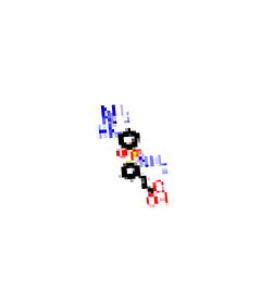 NN=CNc1cccc(S(=O)(=O)c2cccc(CCC(=O)O)c2N)c1